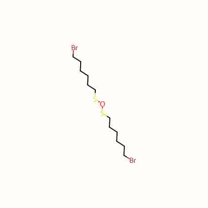 BrCCCCCCSOSCCCCCCBr